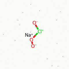 [Na+].[O-]O[Cl+][O-]